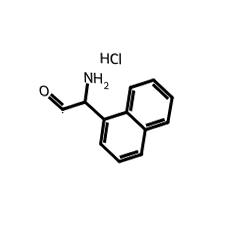 Cl.NC([C]=O)c1cccc2ccccc12